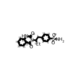 CCC(Cc1ccc(S(N)(=O)=O)cc1)n1c(=O)[nH]c2ccccc2c1=O